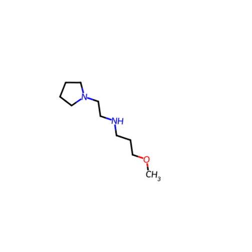 COCCCNCCN1CCCC1